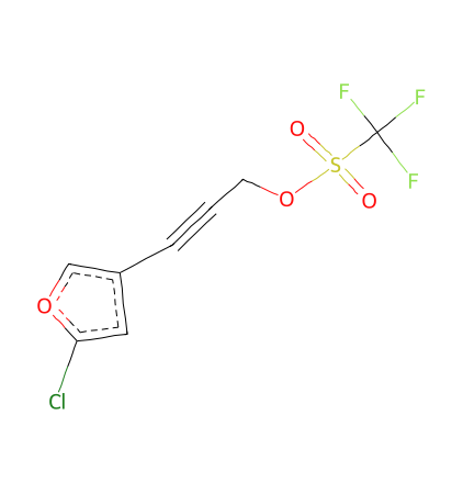 O=S(=O)(OCC#Cc1coc(Cl)c1)C(F)(F)F